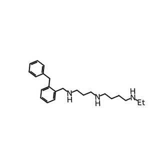 CCNCCCCNCCCNCc1ccccc1Cc1ccccc1